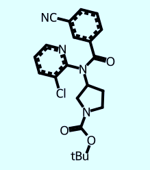 CC(C)(C)OC(=O)N1CCC(N(C(=O)c2cccc(C#N)c2)c2ncccc2Cl)C1